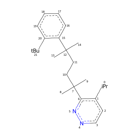 CC(C)c1ccnnc1C(C)(C)CCC(C)(C)c1ccccc1C(C)(C)C